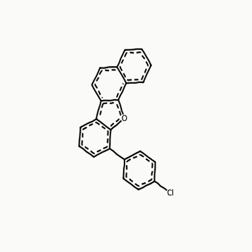 Clc1ccc(-c2cccc3c2oc2c4ccccc4ccc32)cc1